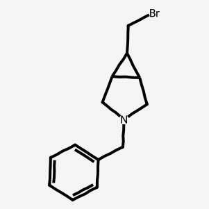 BrCC1C2CN(Cc3ccccc3)CC12